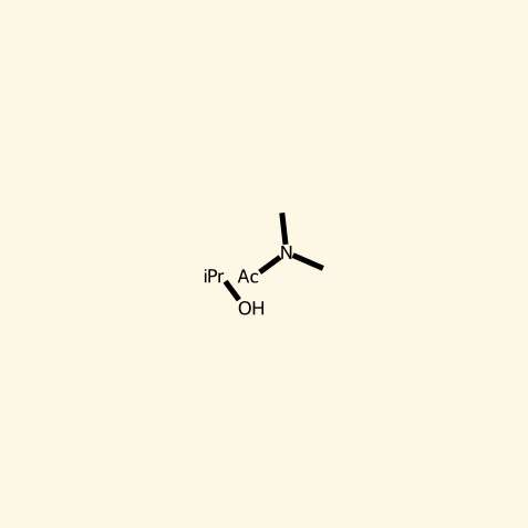 CC(=O)N(C)C.CC(C)O